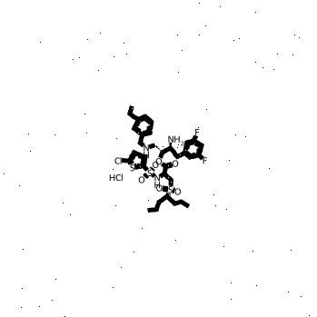 CCCC(CCC)S(=O)(=O)CC(NS(=O)(=O)c1ccc(Cl)s1)C(=O)O[C@H](CNCc1cccc(CC)c1)[C@@H](N)Cc1cc(F)cc(F)c1.Cl